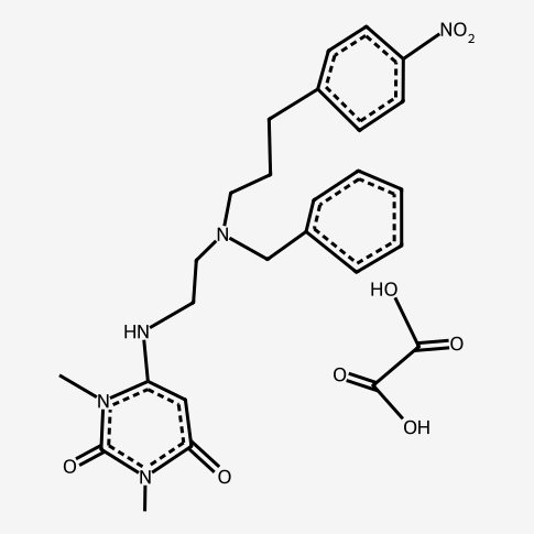 Cn1c(NCCN(CCCc2ccc([N+](=O)[O-])cc2)Cc2ccccc2)cc(=O)n(C)c1=O.O=C(O)C(=O)O